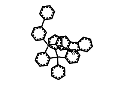 c1ccc(-c2cccc(N(c3ccc4c(c3)oc3ccccc34)c3ccccc3C3(c4ccccc4)c4ccccc4-c4ccccc43)c2)cc1